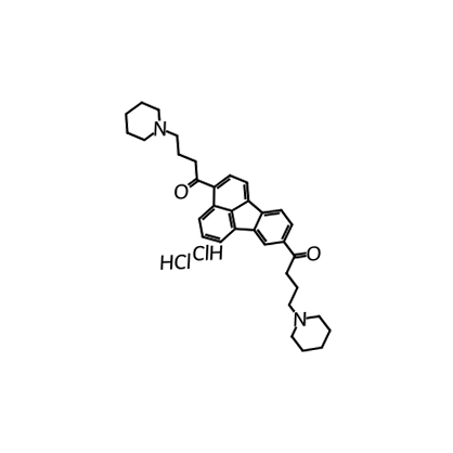 Cl.Cl.O=C(CCCN1CCCCC1)c1ccc2c(c1)-c1cccc3c(C(=O)CCCN4CCCCC4)ccc-2c13